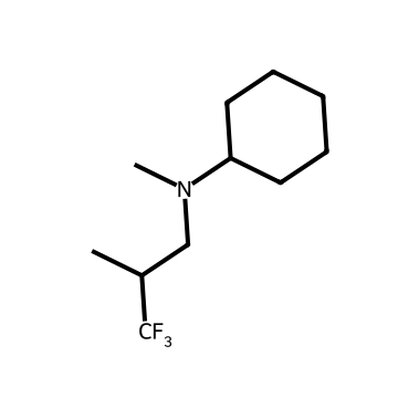 CC(CN(C)C1CCCCC1)C(F)(F)F